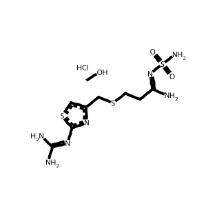 CO.Cl.NC(N)=Nc1nc(CSCCC(N)=NS(N)(=O)=O)cs1